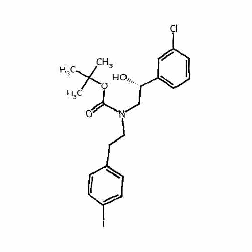 CC(C)(C)OC(=O)N(CCc1ccc(I)cc1)C[C@H](O)c1cccc(Cl)c1